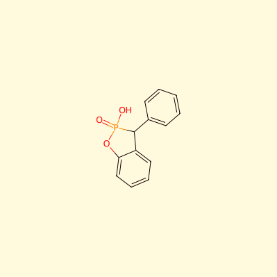 O=P1(O)Oc2ccccc2C1c1ccccc1